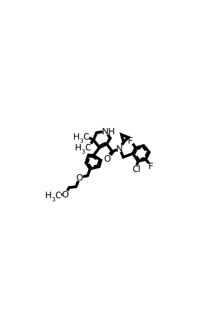 COCCOCc1ccc(C2=C(C(=O)N(Cc3c(F)ccc(F)c3Cl)C3CC3)CNCC2(C)C)cc1